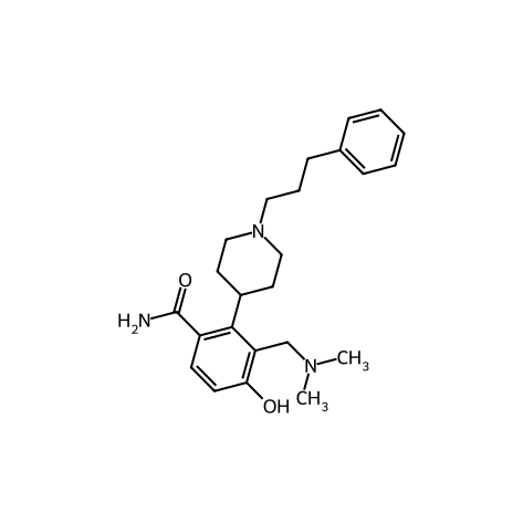 CN(C)Cc1c(O)ccc(C(N)=O)c1C1CCN(CCCc2ccccc2)CC1